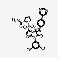 C[C@@]1(Cc2ccc(-c3cncnc3)cc2)C(=O)N(c2cc(Cl)cc(Cl)c2)c2ncc(S(=O)(=O)N3CCC[C@H]3C(N)=O)n21